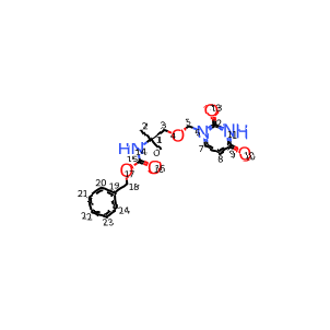 CC(C)(COCn1ccc(=O)[nH]c1=O)NC(=O)OCc1ccccc1